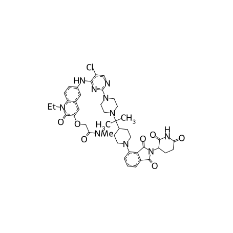 CCn1c(=O)c(OCC(=O)NC)cc2cc(Nc3nc(N4CCN(C(C)(C)C5CCN(c6cccc7c6C(=O)N(C6CCC(=O)NC6=O)C7=O)CC5)CC4)ncc3Cl)ccc21